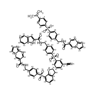 CN(C)c1ccc(S(=O)(=O)c2ccc(CNC(=O)c3cnc4nccn4c3)cc2)cn1.N#Cc1cccc(S(=O)(=O)c2ccc(CNC(=O)c3cc4cnccc4[nH]3)cc2)c1.O=C(NCc1ccc(S(=O)(=O)c2cccc3c2OCC3)cc1)c1cnc2nccn2c1